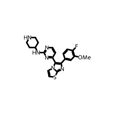 COc1cc(-c2nc3sccn3c2-c2ccnc(NC3CCNCC3)n2)ccc1F